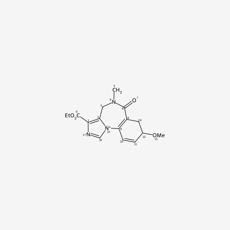 CCOC(=O)C1=C2CN(C)C(=O)C3=C(C=CC(OC)C3)[N+]2C=N1